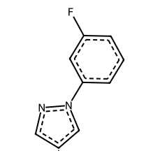 Fc1cccc(-n2c[c]cn2)c1